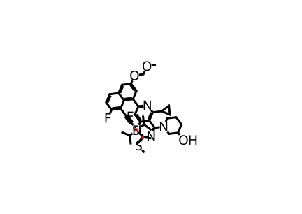 COCOc1cc(-c2nc(C3CC3)c3c(N4CCCC(O)C4)nc(SC)nc3c2F)c2c(C#C[Si](C(C)C)(C(C)C)C(C)C)c(F)ccc2c1